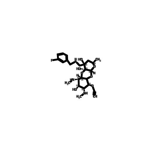 C#CO[C@@H]1C2O[C@@H]3O[C@H](C)C[C@@](O)(CNCc4cccc(F)c4)[C@]3(O)O[C@@H]2[C@@H](NC)[C@@H](O)[C@H]1NC